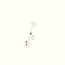 Nc1ncnc2c1ncn2CCOCP(NCCOCc1cccc2ccccc12)Oc1ccccc1